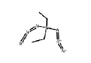 CC[Si](CC)(N=[N+]=[N-])N=[N+]=[N-]